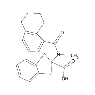 CN(C(=O)c1cccc2c1CCCC2)C1(C(=O)O)Cc2ccccc2C1